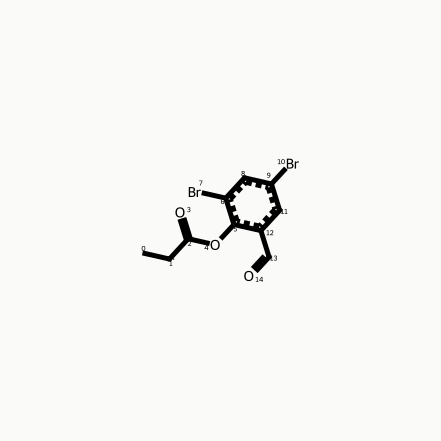 C[CH]C(=O)Oc1c(Br)cc(Br)cc1C=O